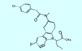 CCC(C(=O)O)n1c2c(c3cc(F)ccc31)CC(N(C)C(=O)Cc1ccc(Cl)cc1)CC2